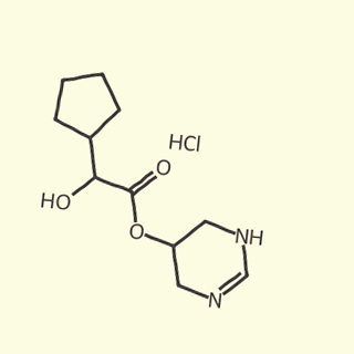 Cl.O=C(OC1CN=CNC1)C(O)C1CCCC1